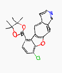 CC1(C)OB(c2ccc(Cl)c3oc4cc5cnccc5cc4c23)OC1(C)C